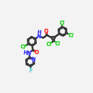 O=C(Nc1ccc(F)cn1)c1cc(NCC(=O)C2C(c3cc(Cl)cc(Cl)c3)C2(Cl)Cl)ccc1Cl